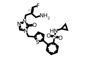 NC/C(=C\F)Cn1ncn(Cc2ccc(-c3ccccc3S(=O)(=O)NC3CC3)s2)c1=O